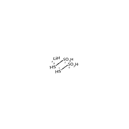 O=S(=O)(O)S.O=S(=O)(O)S.[LiH]